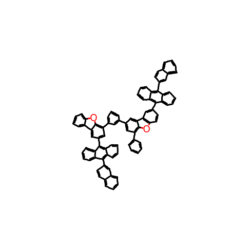 c1ccc(-c2cc(-c3cccc(-c4cc(-c5c6ccccc6c(-c6ccc7ccccc7c6)c6ccccc56)cc5c4oc4ccccc45)c3)cc3c2oc2ccc(-c4c5ccccc5c(-c5ccc6ccccc6c5)c5ccccc45)cc23)cc1